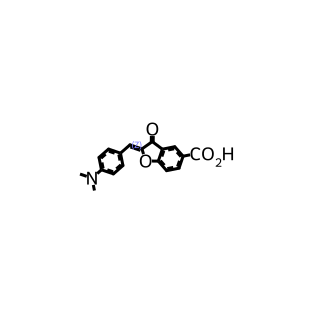 CN(C)c1ccc(/C=C2\Oc3ccc(C(=O)O)cc3C2=O)cc1